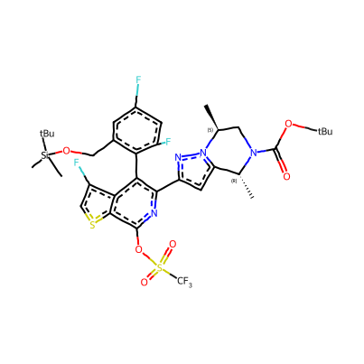 C[C@@H]1c2cc(-c3nc(OS(=O)(=O)C(F)(F)F)c4scc(F)c4c3-c3c(F)cc(F)cc3CO[Si](C)(C)C(C)(C)C)nn2[C@@H](C)CN1C(=O)OC(C)(C)C